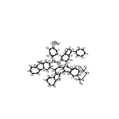 CC(C)(C)c1ccc(N2B3c4cc5occ(-c6ccccc6)c5cc4-n4c5cc6c(cc5c5c7sc8ccccc8c7c(c3c54)-c3cc4c(cc32)sc2ccccc24)C(C)(C)CCC6(C)C)cc1